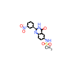 CS(=O)(=O)Nc1ccc2nc(-c3cccc([N+](=O)[O-])c3)[nH]c(=O)c2c1